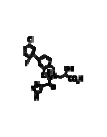 O=C(NN(Cc1ccc(-c2cc(Cl)ccc2F)cc1Cl)CC(O)C(=O)O)c1c[nH]nn1